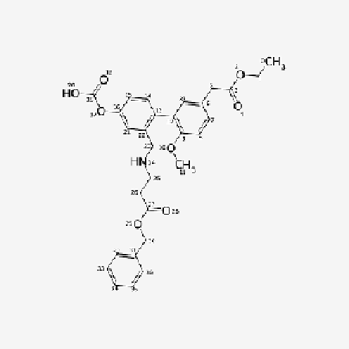 CCOC(=O)Cc1ccc(OC)c(-c2ccc(OC(=O)O)cc2CNCCC(=O)OCc2ccccc2)c1